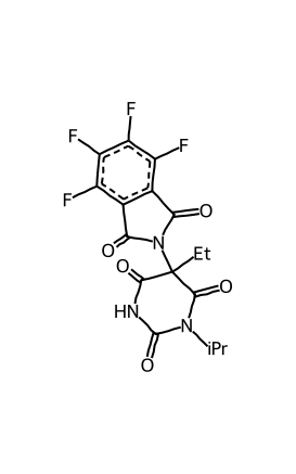 CCC1(N2C(=O)c3c(F)c(F)c(F)c(F)c3C2=O)C(=O)NC(=O)N(C(C)C)C1=O